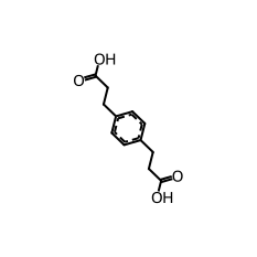 O=C(O)CCc1ccc(CCC(=O)O)cc1